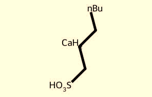 CCCCCCCS(=O)(=O)O.[CaH2]